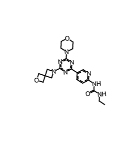 CCNC(=O)Nc1ccc(-c2nc(N3CCOCC3)nc(N3CC4(COC4)C3)n2)cn1